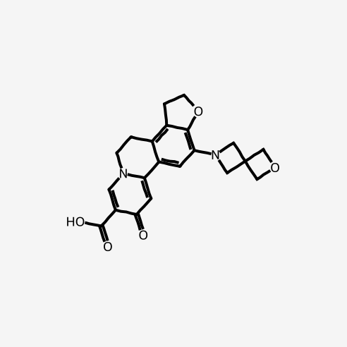 O=C(O)c1cn2c(cc1=O)-c1cc(N3CC4(COC4)C3)c3c(c1CC2)CCO3